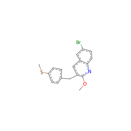 COc1nc2ccc(Br)cc2cc1Cc1ccc(SC)cc1